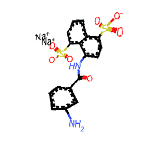 Nc1cccc(C(=O)Nc2ccc(S(=O)(=O)[O-])c3cccc(S(=O)(=O)[O-])c23)c1.[Na+].[Na+]